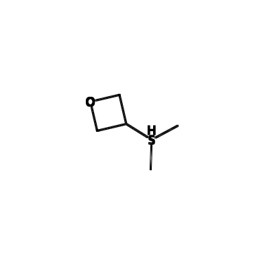 C[SH](C)C1COC1